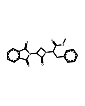 COC(=O)C(Cc1ccccc1)N1CC(N2C(=O)c3ccccc3C2=O)C1=O